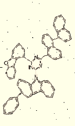 c1ccc(-c2ccc3c(c2)c2ccccc2n3-c2nc(-c3cccc4c(-c5cccc6ccccc56)cccc34)nc(-c3cccc4oc5ccccc5c34)n2)cc1